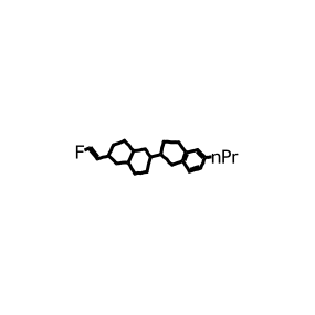 CCCc1ccc2c(c1)CCC(C1CCC3CC(C=CF)CCC3C1)C2